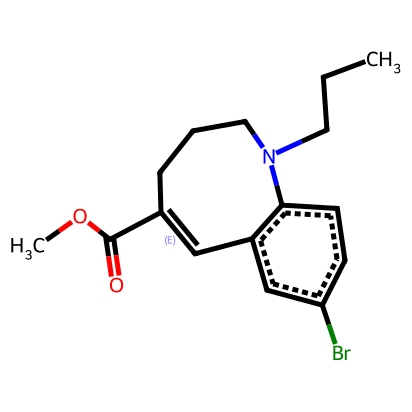 CCCN1CCC/C(C(=O)OC)=C\c2cc(Br)ccc21